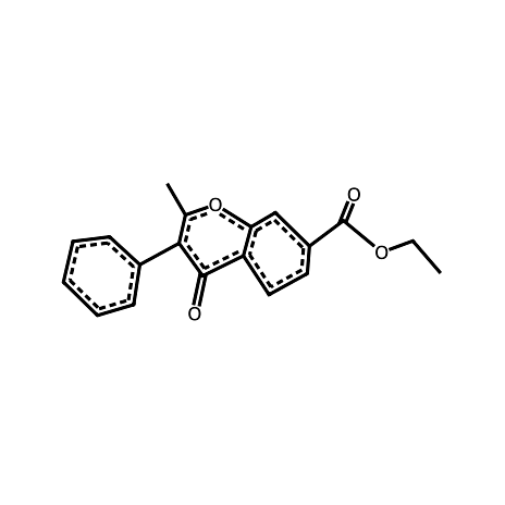 CCOC(=O)c1ccc2c(=O)c(-c3ccccc3)c(C)oc2c1